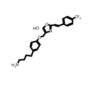 Cl.NCCCCc1ccc(OCc2coc(C=Cc3ccc(C(F)(F)F)cc3)n2)cc1